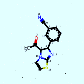 CC(=O)C1C(c2cccc(C#N)c2)N=C2SC=CN21